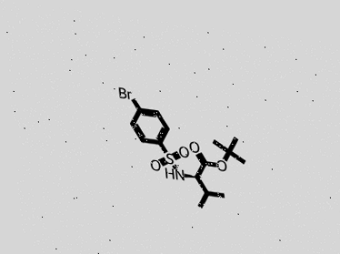 CC(C)[C@@H](NS(=O)(=O)c1ccc(Br)cc1)C(=O)OC(C)(C)C